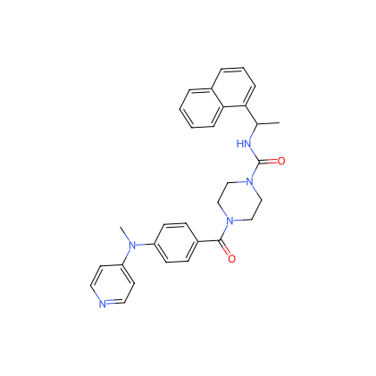 CC(NC(=O)N1CCN(C(=O)c2ccc(N(C)c3ccncc3)cc2)CC1)c1cccc2ccccc12